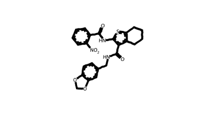 O=C(Nc1sc2c(c1C(=O)NCc1ccc3c(c1)OCO3)CCCC2)c1ccccc1[N+](=O)[O-]